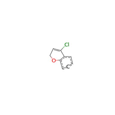 ClC1=CCOc2ccccc21